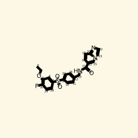 CCOc1cc(S(=O)(=O)c2ccc(CNC(=O)c3ccc4nccn4c3)cc2)ccc1F